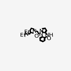 CCN(CC)CC1CCCN(CC(=O)N2c3ccccc3C(=O)Nc3cccnc32)C1